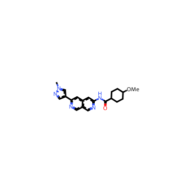 COC1CCC(C(=O)Nc2cc3cc(-c4cnn(C)c4)ncc3cn2)CC1